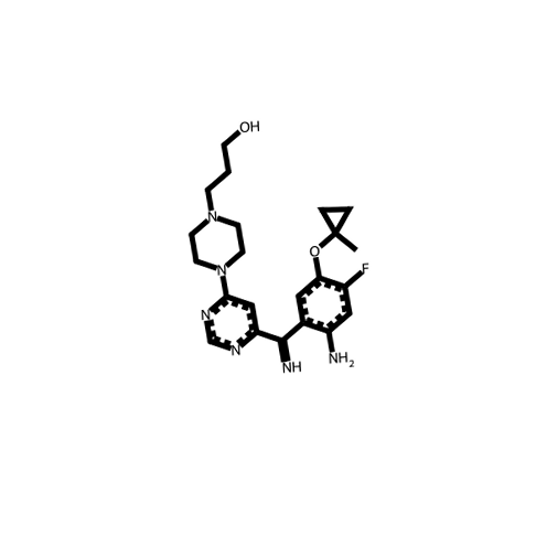 CC1(Oc2cc(C(=N)c3cc(N4CCN(CCCO)CC4)ncn3)c(N)cc2F)CC1